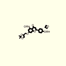 C1=COC1.COc1ccc(-c2cc(=O)c3c(OC)cc(OCC4=COC(C)(C)O4)cc3o2)cc1